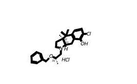 C[C@@H](CN1CC[C@]2(C)[C@@H]1Cc1c(ccc(Cl)c1O)C2(C)C)OCc1ccccc1.Cl